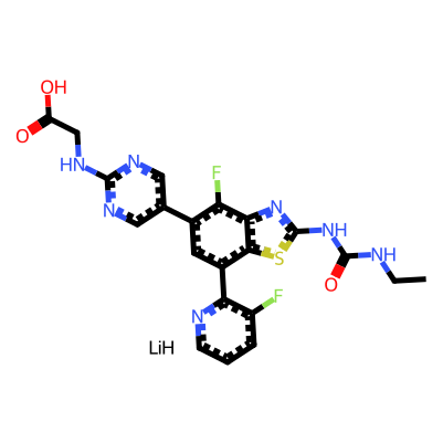 CCNC(=O)Nc1nc2c(F)c(-c3cnc(NCC(=O)O)nc3)cc(-c3ncccc3F)c2s1.[LiH]